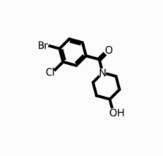 O=C(c1ccc(Br)c(Cl)c1)N1CCC(O)CC1